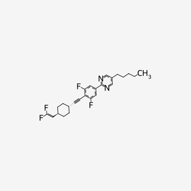 CCCCCc1cnc(-c2cc(F)c(C#C[C@H]3CC[C@H](C=C(F)F)CC3)c(F)c2)nc1